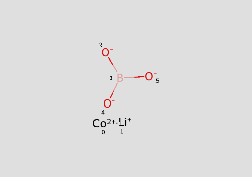 [Co+2].[Li+].[O-]B([O-])[O-]